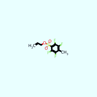 C=CCOS(=O)(=O)c1c(F)c(F)c(C)c(F)c1F